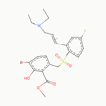 CCN(CC)C/C=C/c1cc(F)ccc1S(=O)(=O)Cc1ccc(Br)c(O)c1C(=O)OC